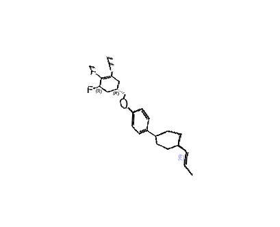 C/C=C/C1CCC(c2ccc(OC[C@H]3CC(F)=C(F)[C@H](F)C3)cc2)CC1